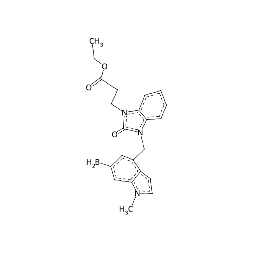 Bc1cc(Cn2c(=O)n(CCC(=O)OCC)c3ccccc32)c2ccn(C)c2c1